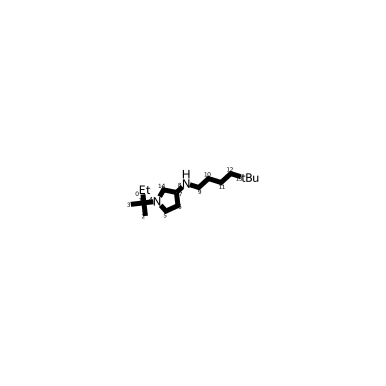 CCC(C)(C)N1CCC(NCCCCC(C)(C)C)C1